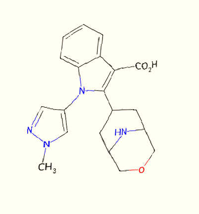 Cn1cc(-n2c(C3CC4COCC(C3)N4)c(C(=O)O)c3ccccc32)cn1